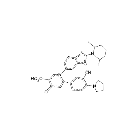 CC1CCCC(C)N1c1nc2ccc(-n3cc(C(=O)O)c(=O)cc3-c3ccc(N4CCCC4)c(C#N)c3)cc2o1